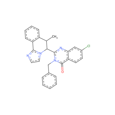 CC1c2ccccc2-c2nccn2C1c1nc2cc(Cl)ccc2c(=O)n1Cc1ccccc1